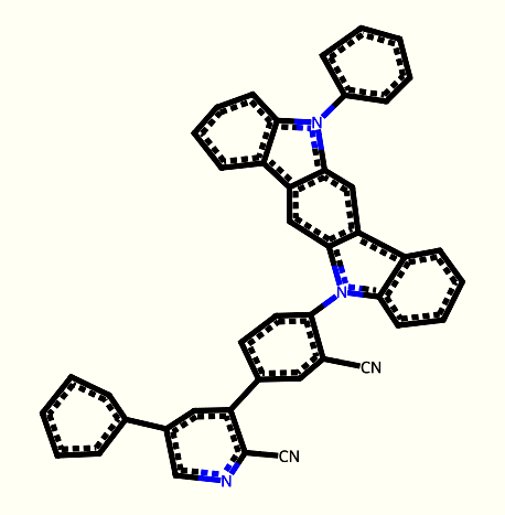 N#Cc1cc(-c2cc(-c3ccccc3)cnc2C#N)ccc1-n1c2ccccc2c2cc3c(cc21)c1ccccc1n3-c1ccccc1